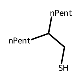 CCCCCC(CS)CCCCC